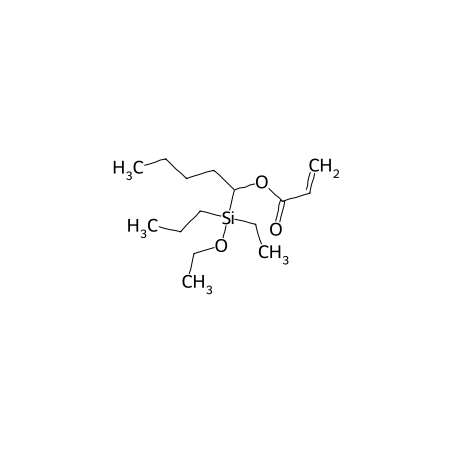 C=CC(=O)OC(CCCC)[Si](CC)(CCC)OCC